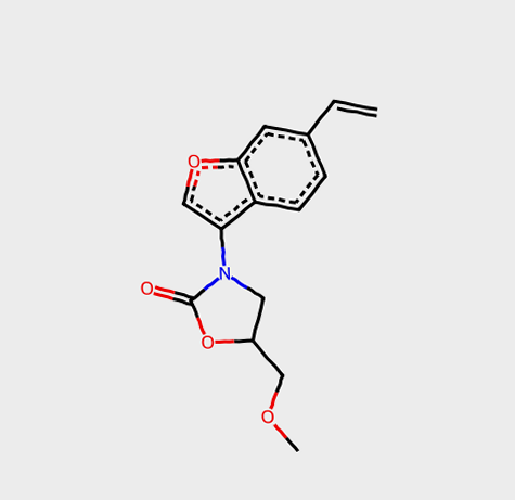 C=Cc1ccc2c(N3CC(COC)OC3=O)coc2c1